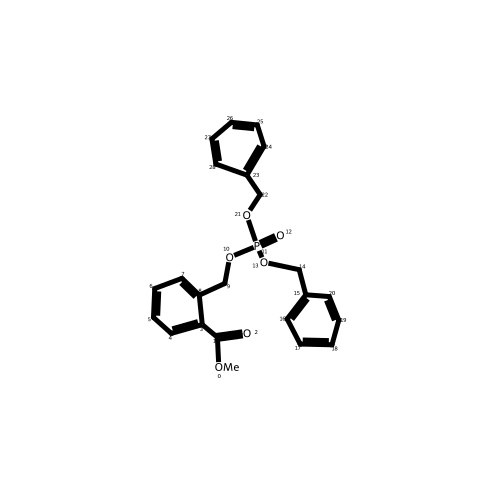 COC(=O)c1ccccc1COP(=O)(OCc1ccccc1)OCc1ccccc1